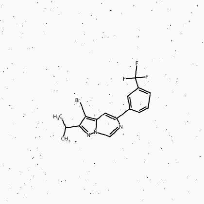 CC(C)c1nn2cnc(-c3cccc(C(F)(F)F)c3)cc2c1Br